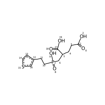 O=C(O)CCC(CP(=O)(O)CCc1ccsc1)C(=O)O